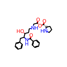 O=C(CNCCC(O)C(Cc1ccccc1)NC(=O)c1ccccc1)OC(=O)[C@@H]1CCCN1